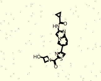 O=C(Nc1cn2cc(-c3csc(C(=O)N4CC(O)C4)n3)ccc2n1)C1CC1